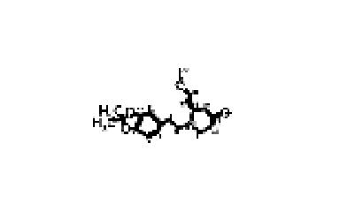 CC1(C)Oc2ccc(CCN3CCC(=O)CC3C=COI)cc2O1